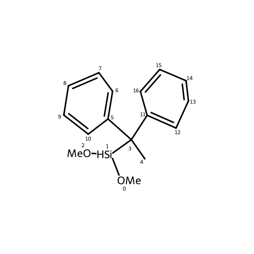 CO[SiH](OC)C(C)(c1ccccc1)c1ccccc1